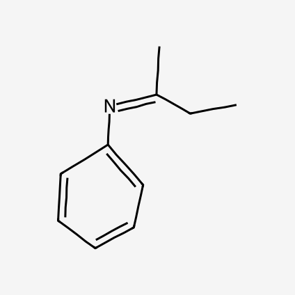 CCC(C)=Nc1ccccc1